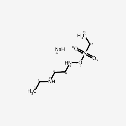 CCNCCNOS(=O)(=O)CC.[NaH]